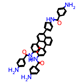 Nc1ccc(C(=O)Nc2ccc(-c3ccc(-c4ccc(NC(=O)c5ccc(N)cc5)cc4)c4c(-c5ccc(NC(=O)c6ccc(N)cc6)cc5)cccc34)cc2)cc1